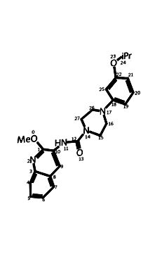 COc1nc2ccccc2cc1NC(=O)N1CCN(c2cccc(OC(C)C)c2)CC1